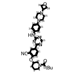 CC(C)(C)C(=O)N1CCCC(Oc2ccc(-c3ncnc(Nc4ccc(N5CCN(C6COC6)CC5)cc4)n3)cc2C#N)C1